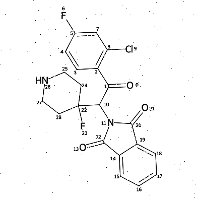 O=C(c1ccc(F)cc1Cl)C(N1C(=O)c2ccccc2C1=O)C1(F)CCNCC1